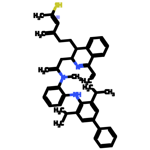 C=CC1=NC(CC(=C)N(C)c2ccccc2Nc2c(C(C)C)cc(-c3ccccc3)cc2C(C)C)C(CCC(=C)/C=C(\C)S)c2ccccc21